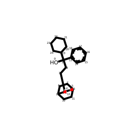 OC(CCN1CC2CCC(CC2)C1)(c1ccccc1)C1CCCCC1